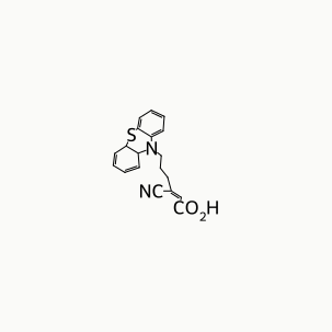 N#C/C(=C\C(=O)O)CCCN1c2ccccc2SC2C=CC=CC21